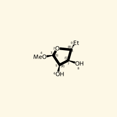 CC[C@H]1O[C@H](OC)[C@H](O)[C@@H]1O